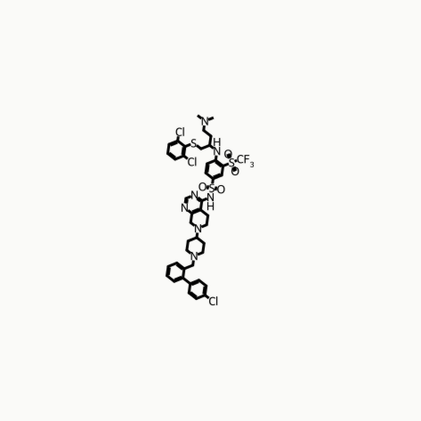 CN(C)CCC(CSc1c(Cl)cccc1Cl)Nc1ccc(S(=O)(=O)Nc2ncnc3c2CCN(C2CCN(Cc4ccccc4-c4ccc(Cl)cc4)CC2)C3)cc1S(=O)(=O)C(F)(F)F